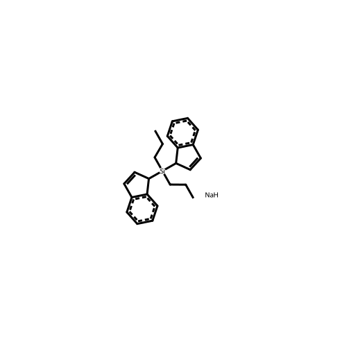 CCC[Si](CCC)(C1C=Cc2ccccc21)C1C=Cc2ccccc21.[NaH]